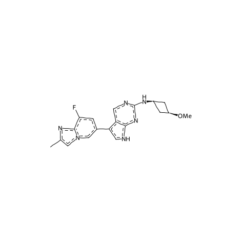 CO[C@H]1C[C@@H](Nc2ncc3c(-c4cc(F)c5nc(C)cn5c4)c[nH]c3n2)C1